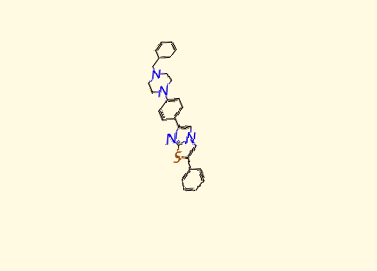 c1ccc(CN2CCN(c3ccc(-c4cn5cc(-c6ccccc6)sc5n4)cc3)CC2)cc1